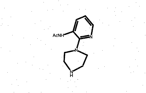 CC(=O)Nc1cccnc1N1CCNCC1